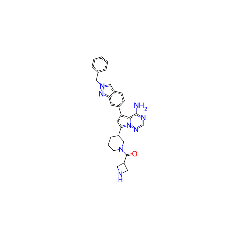 Nc1ncnn2c(C3CCCN(C(=O)C4CNC4)C3)cc(-c3ccc4cn(Cc5ccccc5)nc4c3)c12